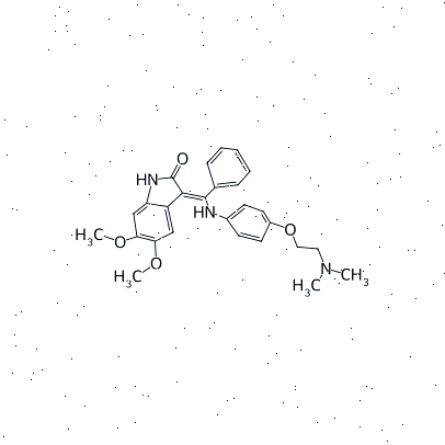 COc1cc2c(cc1OC)C(=C(Nc1ccc(OCCN(C)C)cc1)c1ccccc1)C(=O)N2